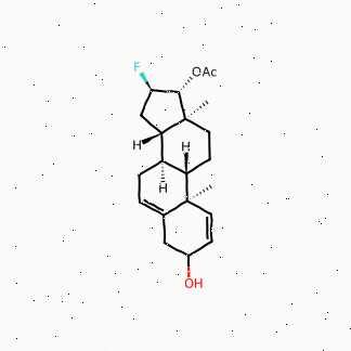 CC(=O)O[C@H]1[C@H](F)C[C@H]2[C@@H]3CC=C4CC(O)C=C[C@]4(C)[C@H]3CC[C@@]21C